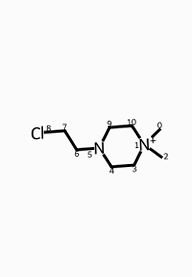 C[N+]1(C)CCN(CCCl)CC1